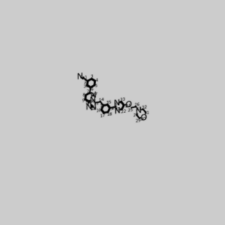 N#Cc1cccc(-c2ccc3nnc(Cc4cccc(-c5ncc(OCCN6CCOCC6)cn5)c4)n3n2)c1